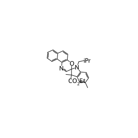 CCOC(=O)C1(C)c2cc(C)ccc2N(CC(C)C)C12C=Nc1c(ccc3ccccc13)O2